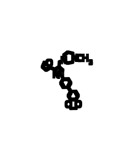 CN1CCCN(Cc2cn(-c3ccc(-c4ccc5c(c4)OCCO5)cc3)nc2-c2ccco2)CC1